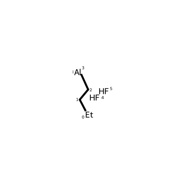 CCC[CH2][Al].F.F